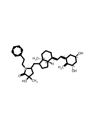 C=C1/C(=C\C=C2/CCC[C@]3(C)C(CC4CC(C)(O)C(=O)N4CCc4ccccc4)CC[C@@H]23)C[C@@H](O)C[C@@H]1O